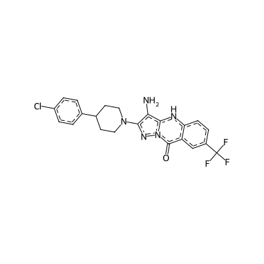 Nc1c(N2CCC(c3ccc(Cl)cc3)CC2)nn2c(=O)c3cc(C(F)(F)F)ccc3[nH]c12